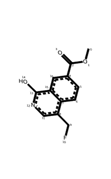 COC(=O)c1ccc2c(CF)cnc(O)c2c1